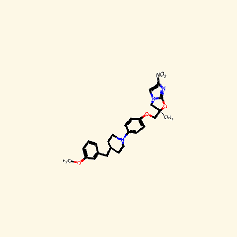 C[C@]1(COc2ccc(N3CCC(Cc4cccc(OC(F)(F)F)c4)CC3)cc2)Cn2cc([N+](=O)[O-])nc2O1